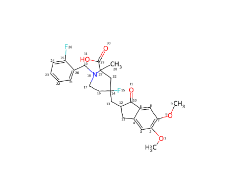 COc1cc2c(cc1OC)C(=O)C(CC1(F)CCN(Cc3ccccc3F)C(C)(C(=O)O)C1)C2